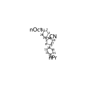 CCCCCCCCC1CCC(C2(C#N)CCC(C3CCC(CCC)CC3)CC2)CC1